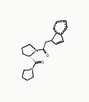 O=C([C@@H]1CCCN1C(=O)CC1C=Cc2ccccc21)N1CCCC1